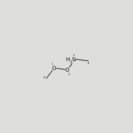 COO[SiH2]C